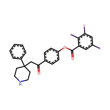 O=C(CC1(c2ccccc2)CCNCC1)c1ccc(OC(=O)c2cc(I)cc(I)c2I)cc1